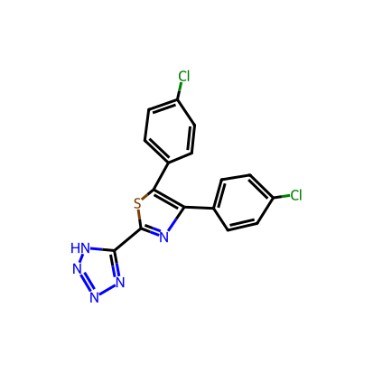 Clc1ccc(-c2nc(-c3nnn[nH]3)sc2-c2ccc(Cl)cc2)cc1